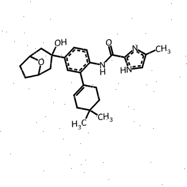 Cc1c[nH]c(C(=O)Nc2ccc(C3(O)CC4CCC(C3)O4)cc2C2=CCC(C)(C)CC2)n1